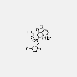 CC(=O)c1c([S+]([O-])Cc2cc(Cl)ccc2Cl)[nH]c2c(Br)ccc(Cl)c2c1=O